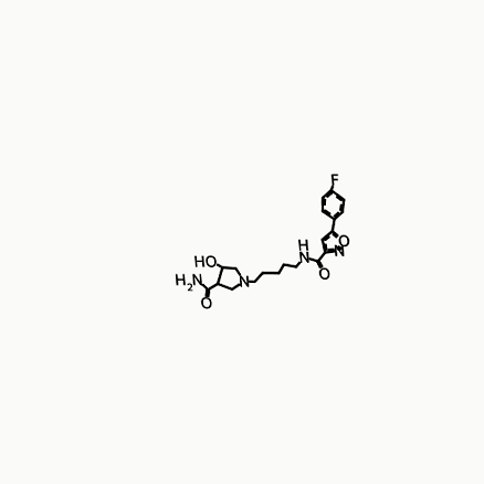 NC(=O)C1CN(CCCCCNC(=O)c2cc(-c3ccc(F)cc3)on2)CC1O